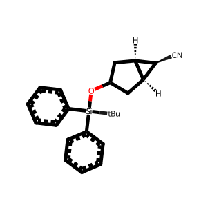 CC(C)(C)[Si](OC1C[C@@H]2[C@H](C#N)[C@@H]2C1)(c1ccccc1)c1ccccc1